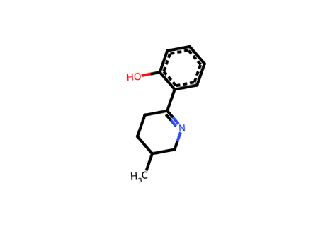 CC1CCC(c2ccccc2O)=NC1